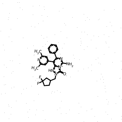 Cc1cc(-c2c(-c3ccccc3)nc(N)[n+]3c(=O)n(CC4CCC(F)(F)C4)[nH]c23)cc(C)n1